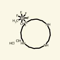 Cl.Cl.[CH3][Ti]([CH3])([F])([F])([F])([F])[N]1CCCNCCCNCCCNCCC1